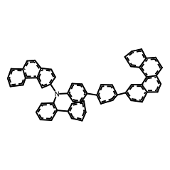 c1ccc(-c2ccccc2N(c2ccc(-c3ccc(-c4ccc5ccc6ccc7ccccc7c6c5c4)cc3)cc2)c2ccc3ccc4ccccc4c3c2)cc1